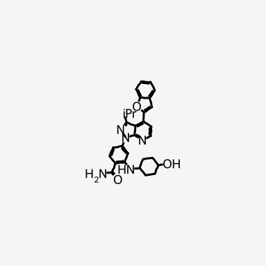 CC(C)c1nn(-c2ccc(C(N)=O)c(NC3CCC(O)CC3)c2)c2nccc(-c3cc4ccccc4o3)c12